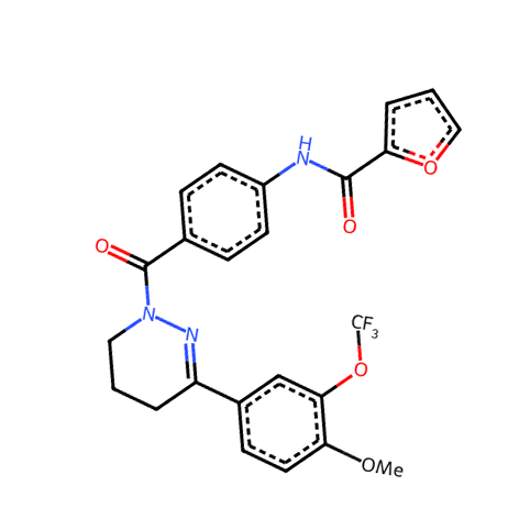 COc1ccc(C2=NN(C(=O)c3ccc(NC(=O)c4ccco4)cc3)CCC2)cc1OC(F)(F)F